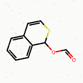 O=COC1SC=Cc2ccccc21